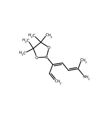 C=C/C(=C\C=C(/C)N)B1OC(C)(C)C(C)(C)O1